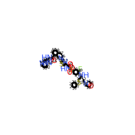 O=C(NS(=O)(=O)c1ccc(N[C@H](CCN2CCOCC2)CSc2ccccc2)c(F)c1)c1csc(N2CCc3cccc(C(=O)Nc4cn5ncccc5n4)c3C2)n1